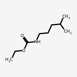 CCOC(=O)NCCCC(C)C